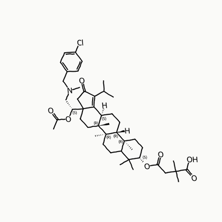 CC(=O)O[C@H](CN(C)Cc1ccc(Cl)cc1)C12CC[C@]3(C)[C@H](CC[C@@H]4[C@@]5(C)CC[C@H](OC(=O)CC(C)(C)C(=O)O)C(C)(C)C5CC[C@]43C)C1=C(C(C)C)C(=O)C2